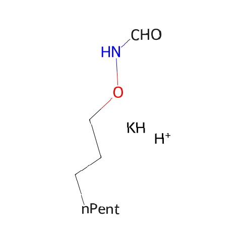 CCCCCCCCONC=O.[H+].[KH]